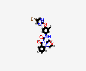 Cc1cc(NC(=O)NC(=O)c2ccccc2N2CCOCC2)ccc1Oc1ncc(Br)cn1